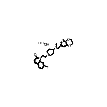 Cl.Cl.O=c1ccc2ccc(F)cc2n1CCN1CCC(NCc2cc3c(nn2)OCCO3)CC1